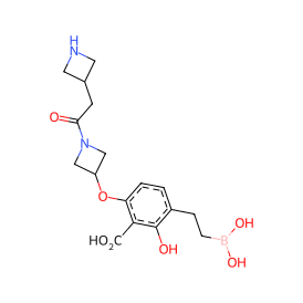 O=C(O)c1c(OC2CN(C(=O)CC3CNC3)C2)ccc(CCB(O)O)c1O